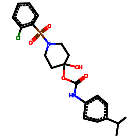 CC(C)c1ccc(NC(=O)OC2(O)CCN(S(=O)(=O)c3ccccc3Cl)CC2)cc1